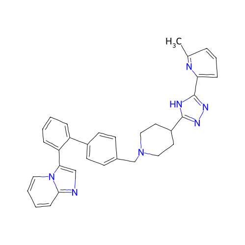 Cc1cccc(-c2nnc(C3CCN(Cc4ccc(-c5ccccc5-c5cnc6ccccn56)cc4)CC3)[nH]2)n1